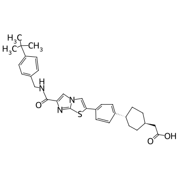 CC(C)(C)c1ccc(CNC(=O)c2cn3cc(-c4ccc([C@H]5CC[C@H](CC(=O)O)CC5)cc4)sc3n2)cc1